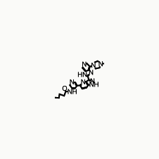 CCCCC(=O)Nc1cncc(-c2ccc3[nH]nc(-c4nc5c(N6CCN(C)CC6)cncc5[nH]4)c3n2)c1